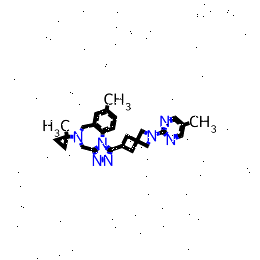 Cc1cnc(N2CC3(CC(c4nnc5n4-c4ccc(C)cc4CN(C4(C)CC4)C5)C3)C2)nc1